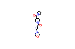 O=C(/C=C/CN1CCOCC1)N1CCC(C(=O)N2CCCC2)CC1